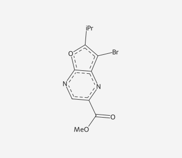 COC(=O)c1cnc2oc(C(C)C)c(Br)c2n1